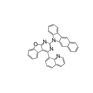 c1ccc2cc3c(cc2c1)c1ccccc1n3-c1nc(-c2cccc3cccnc23)c2c(n1)oc1ccccc12